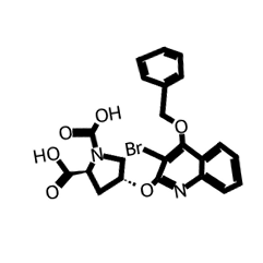 O=C(O)[C@@H]1C[C@@H](Oc2nc3ccccc3c(OCc3ccccc3)c2Br)CN1C(=O)O